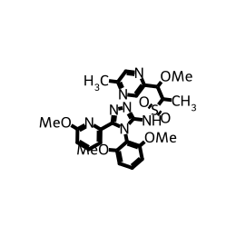 COc1cccc(-c2nnc(NS(=O)(=O)C(C)C(OC)c3cnc(C)cn3)n2-c2c(OC)cccc2OC)n1